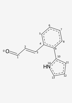 O=[C]/C=C/c1ccccc1-c1ccc[nH]1